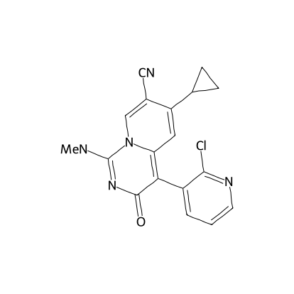 CNc1nc(=O)c(-c2cccnc2Cl)c2cc(C3CC3)c(C#N)cn12